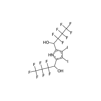 OC(c1[nH]c(C(O)C(F)(F)C(F)(F)C(F)(F)F)c(I)c1I)C(F)(F)C(F)(F)C(F)(F)F